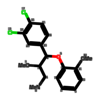 CNCC(OC)C(Oc1ccccc1OC)c1ccc(Cl)c(Cl)c1